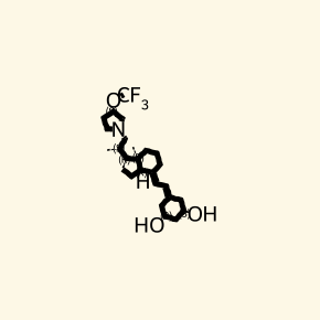 C[C@H](CN1CC[C@H](OC(F)(F)F)C1)[C@H]1CC[C@H]2C(=CC=C3C[C@@H](O)C[C@@H](O)C3)CCC[C@]12C